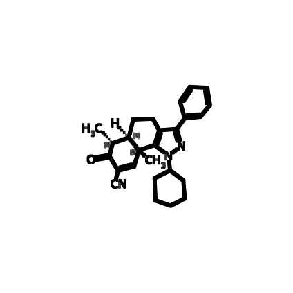 C[C@H]1C(=O)C(C#N)=C[C@@]2(C)c3c(c(-c4ccccc4)nn3C3CCCCC3)CC[C@H]12